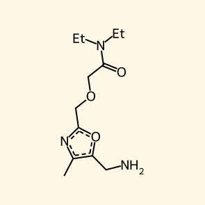 CCN(CC)C(=O)COCc1nc(C)c(CN)o1